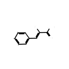 O=C(O)/C(F)=C/c1ccccc1